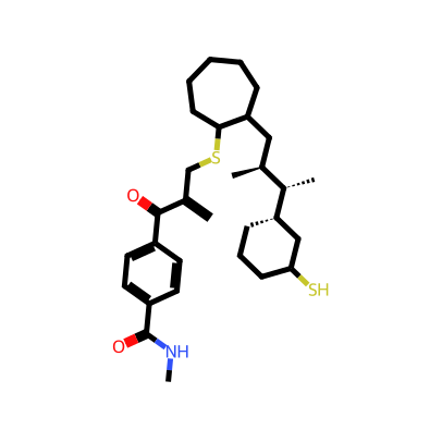 C=C(CSC1CCCCCC1C[C@H](C)[C@H](C)[C@H]1CCCC(S)C1)C(=O)c1ccc(C(=O)NC)cc1